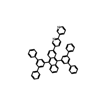 c1ccc(-c2cc(-c3ccccc3)cc(-c3c4ccccc4c(-c4cc(-c5ccccc5)cc(-c5ccccc5)c4)c4cc(-c5ccc(-c6cccnc6)nc5)ccc34)c2)cc1